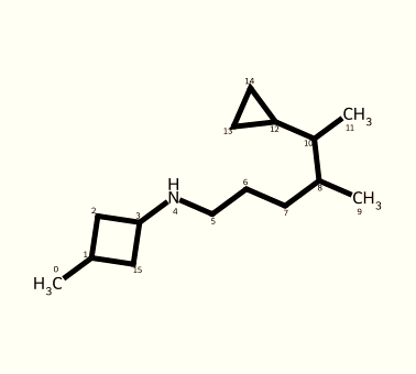 CC1CC(NCCCC(C)C(C)C2CC2)C1